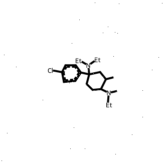 CCN(C)C1CCC(c2ccc(Cl)cc2)(N(CC)CC)CC1C